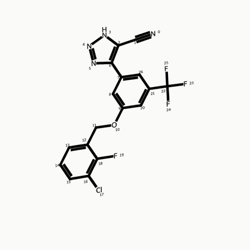 N#Cc1[nH]nnc1-c1cc(OCc2cccc(Cl)c2F)cc(C(F)(F)F)c1